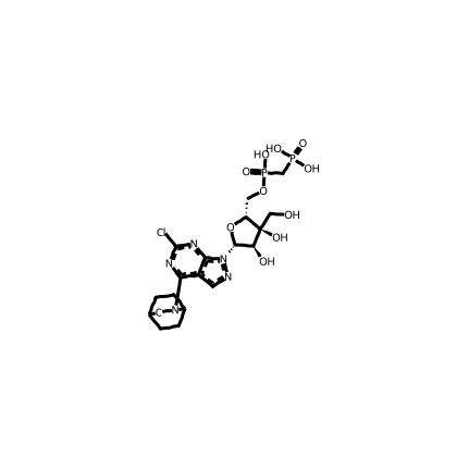 O=P(O)(O)CP(=O)(O)OC[C@H]1O[C@@H](n2ncc3c(N4CC5CCC4CC5)nc(Cl)nc32)[C@H](O)[C@@]1(O)CO